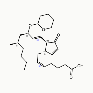 CCCC[C@@H](C)C[C@H](/C=C/[C@H]1C(=O)C=C[C@@H]1C/C=C\CCCC(=O)O)OC1CCCCO1